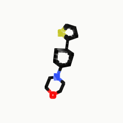 c1csc(-c2ccc(N3CCOCC3)cc2)c1